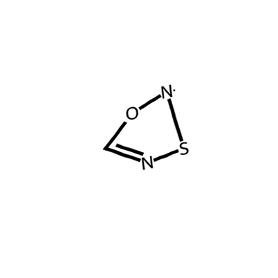 C1=NS[N]O1